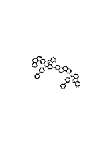 c1ccc(-c2ccc(N(c3ccc4ccc5c6ccc(-c7ccc(N(c8ccc(-c9ccccc9)cc8)c8ccc9ccc%10ccc%11ccccc%11c%10c9c8)c8sc9cccnc9c78)cc6ccc5c4c3)c3cccc4c3sc3cnccc34)cc2)cc1